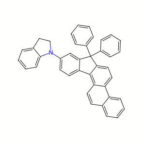 c1ccc(C2(c3ccccc3)c3cc(N4CCc5ccccc54)ccc3-c3c2ccc2c3ccc3ccccc32)cc1